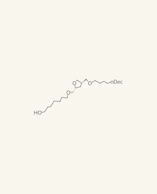 CCCCCCCCCCCCCCOC[C@@H]1CO[C@@H](COCCCCCCCO)C1